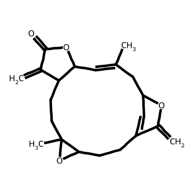 C=C1OC2C=C1CCC1OC1(C)CCC1C(=C)C(=O)OC1/C=C(\C)C2